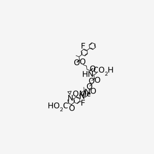 COc1c(N2CCN(C(=O)OCOC(=O)C(CC(=O)O)NC(=O)CCCOC(=O)C(C)c3ccc(-c4ccccc4)c(F)c3)C(C)C2)c(F)cc2c(=O)c(C(=O)O)cn(C3CC3)c12